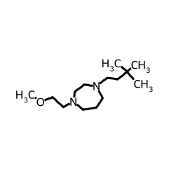 COCCN1CCCN(CCC(C)(C)C)CC1